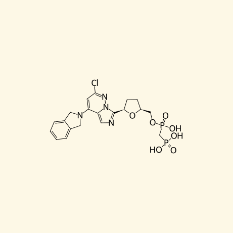 O=P(O)(O)CP(=O)(O)OC[C@@H]1CC[C@H](c2ncc3c(N4Cc5ccccc5C4)cc(Cl)nn23)O1